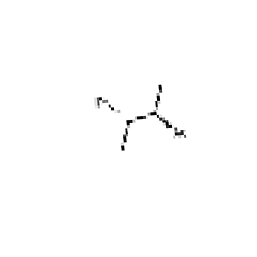 CC(=O)[C@H](C)[C@H](C)C(C)C